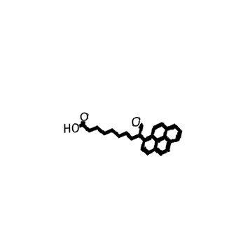 O=CC(CCCCCCCC(=O)O)c1ccc2ccc3cccc4ccc1c2c34